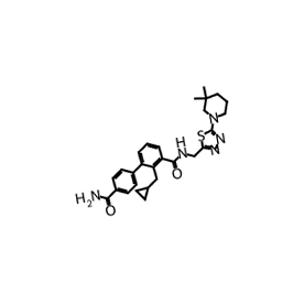 CC1(C)CCCN(c2nnc(CNC(=O)c3cccc(-c4ccc(C(N)=O)cc4)c3CC3CC3)s2)C1